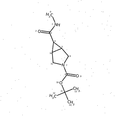 CNC(=O)C1C2CN(C(=O)OC(C)(C)C)CC21